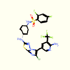 Nc1ncc(-c2c(Cl)nc3sc(N[C@H]4CC[C@H](NS(=O)(=O)c5ccc(F)cc5F)CC4)nn23)cc1C(F)(F)F